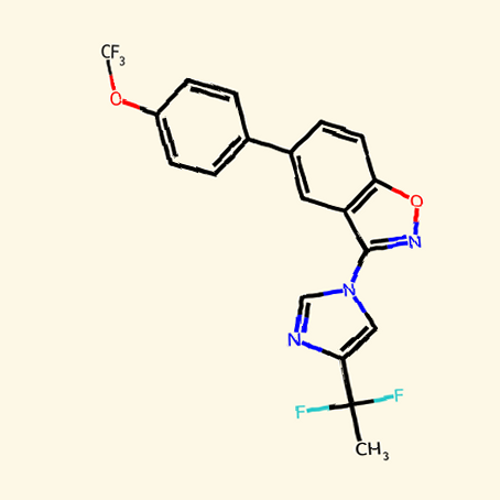 CC(F)(F)c1cn(-c2noc3ccc(-c4ccc(OC(F)(F)F)cc4)cc23)cn1